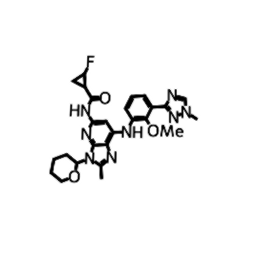 COc1c(Nc2cc(NC(=O)C3CC3F)nc3c2nc(C)n3C2CCCCO2)cccc1-c1ncn(C)n1